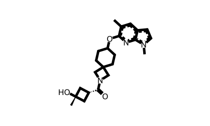 Cc1cc2ccn(C)c2nc1OC1CCC2(CC1)CN(C(=O)[C@H]1C[C@@](C)(O)C1)C2